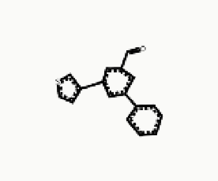 O=Cc1cc(-c2ccccc2)cc(-c2ccsc2)c1